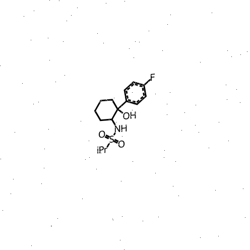 CC(C)S(=O)(=O)NC1CCCCC1(O)c1ccc(F)cc1